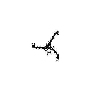 C1=C(OCCCCCCC2CO2)NN(OCCCCCCC2CO2)N=C1OCCCCCCC1CO1